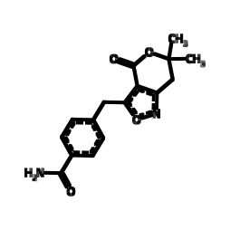 CC1(C)Cc2noc(Cc3ccc(C(N)=O)cc3)c2C(=O)O1